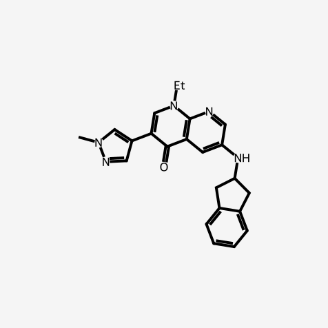 CCn1cc(-c2cnn(C)c2)c(=O)c2cc(NC3Cc4ccccc4C3)cnc21